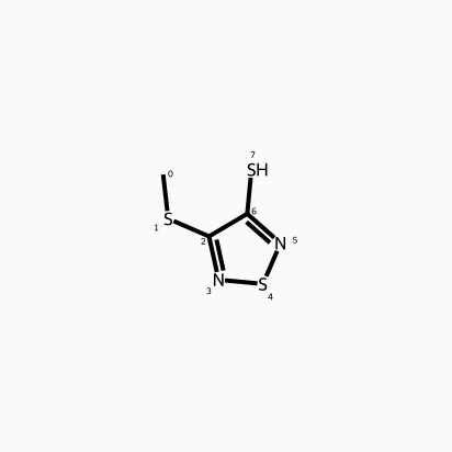 CSc1nsnc1S